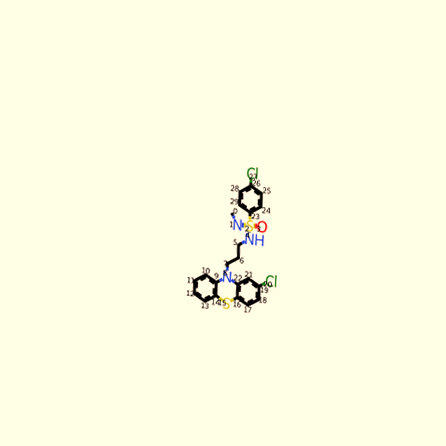 CN=S(=O)(NCCCN1c2ccccc2Sc2ccc(Cl)cc21)c1ccc(Cl)cc1